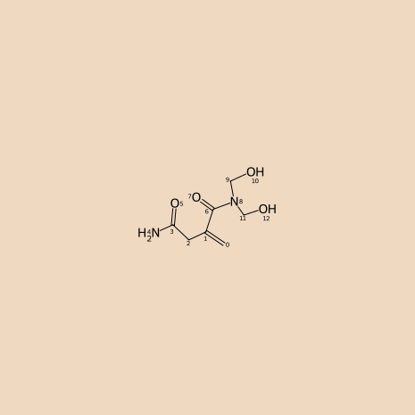 C=C(CC(N)=O)C(=O)N(CO)CO